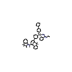 C=C/C=C(\C=C/CN(C1=CC=C(C2=C3CC(=C(/C(C)=C4/C(=C)C(C)(C)C5=C=C4C=CC=C5)C=C2)c2ccccc2C3(C)C)CC=C1)c1ccc(-c2ccccc2)cc1)c1ccccc1